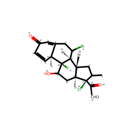 CC1C[C@H]2[C@@H]3C(Br)CC4=CC(=O)C=C[C@]4(C)[C@@]3(F)C(O)C[C@]2(C)[C@@]1(Cl)C(=O)C=O